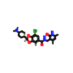 Cc1cc(C)c(CNC(=O)c2cc(Br)c3c(c2C)O[C@@](C)([C@H]2CC[C@H](N(C)C)CC2)O3)c(=O)[nH]1